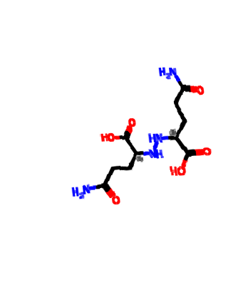 NC(=O)CC[C@H](NN[C@@H](CCC(N)=O)C(=O)O)C(=O)O